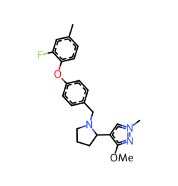 COc1nn(C)cc1C1CCCN1Cc1ccc(Oc2ccc(C)cc2F)cc1